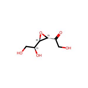 O=C(CO)[C@H]1O[C@@H]1[C@@H](O)CO